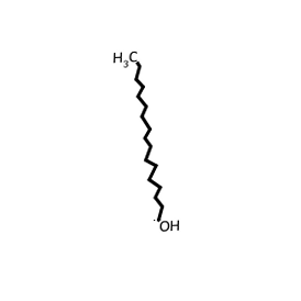 CCCCCCCCCCCCCCCC[CH]O